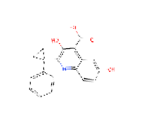 O=C(O)c1c(O)c(C2(c3ccccc3)CC2)nc2ccc(O)cc12